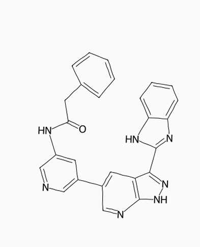 O=C(Cc1ccccc1)Nc1cncc(-c2cnc3[nH]nc(-c4nc5ccccc5[nH]4)c3c2)c1